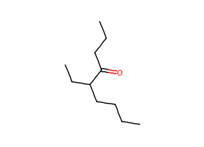 CCCCC(CC)C(=O)CCC